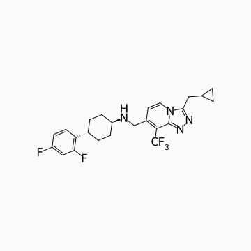 Fc1ccc([C@H]2CC[C@H](NCc3ccn4c(CC5CC5)nnc4c3C(F)(F)F)CC2)c(F)c1